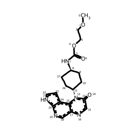 COCCOC(=O)N[C@H]1CC[C@H](n2c(=O)cnc3cnc4[nH]ccc4c32)CC1